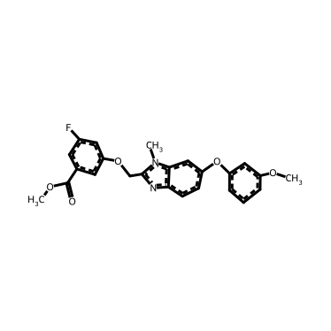 COC(=O)c1cc(F)cc(OCc2nc3ccc(Oc4cccc(OC)c4)cc3n2C)c1